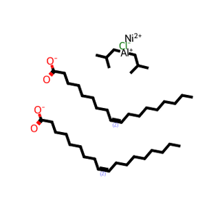 CC(C)[CH2][Al+][CH2]C(C)C.CCCCCCCC/C=C\CCCCCCCC(=O)[O-].CCCCCCCC/C=C\CCCCCCCC(=O)[O-].[Cl-].[Ni+2]